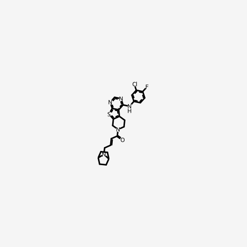 O=C(C=CCN1C2CCC1CC2)N1CCc2c(sc3ncnc(Nc4ccc(F)c(Cl)c4)c23)C1